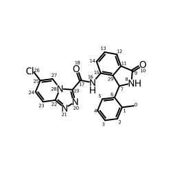 Cc1ccccc1C1NC(=O)c2cccc(NC(=O)c3nnc4ccc(Cl)cn34)c21